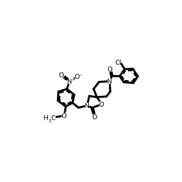 COc1ccc([N+](=O)[O-])cc1CN1CC2(CCN(C(=O)c3ccccc3Cl)CC2)OC1=O